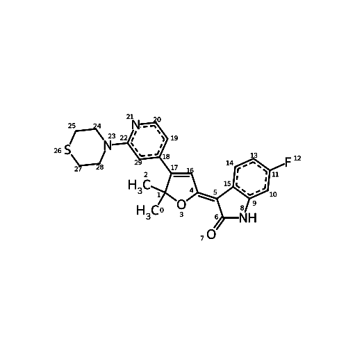 CC1(C)OC(=C2C(=O)Nc3cc(F)ccc32)C=C1c1ccnc(N2CCSCC2)c1